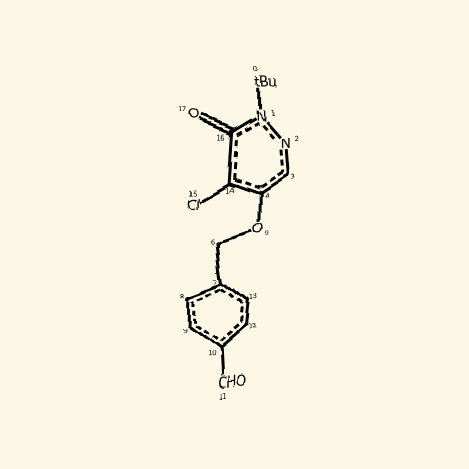 CC(C)(C)n1ncc(OCc2ccc(C=O)cc2)c(Cl)c1=O